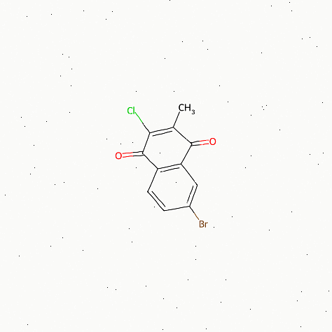 CC1=C(Cl)C(=O)c2ccc(Br)cc2C1=O